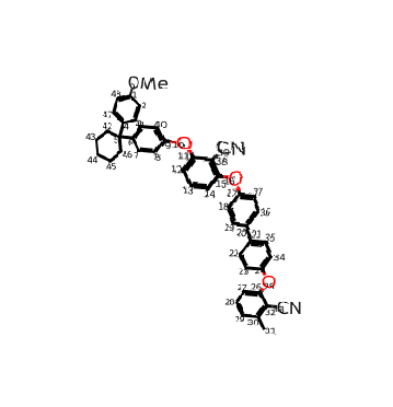 COc1ccc(C2(c3ccc(Oc4cccc(Oc5ccc(-c6ccc(Oc7cccc(C)c7C#N)cc6)cc5)c4C#N)cc3)CCCCC2)cc1